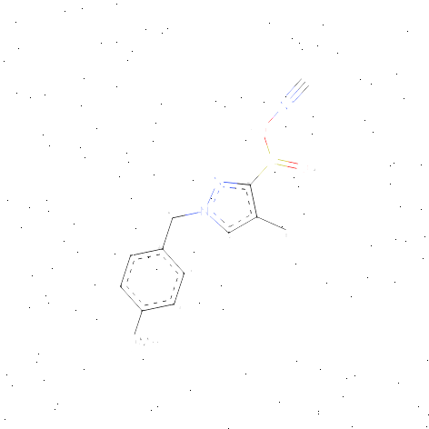 C#[N+]OS(=O)c1nn(Cc2ccc(OC)cc2)cc1C